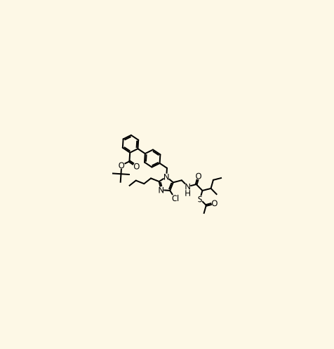 CCCCc1nc(Cl)c(CNC(=O)C(SC(C)=O)C(C)CC)n1Cc1ccc(-c2ccccc2C(=O)OC(C)(C)C)cc1